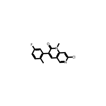 Cc1ccc(F)cc1-c1cc2cnc(Cl)cc2n(C)c1=O